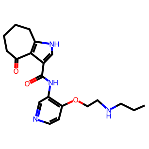 CCCNCCOc1ccncc1NC(=O)c1c[nH]c2c1C(=O)CCCC2